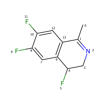 CC1=NCC(F)c2cc(F)c(F)cc21